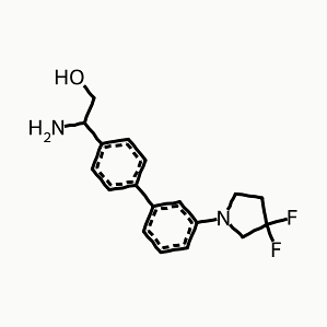 NC(CO)c1ccc(-c2cccc(N3CCC(F)(F)C3)c2)cc1